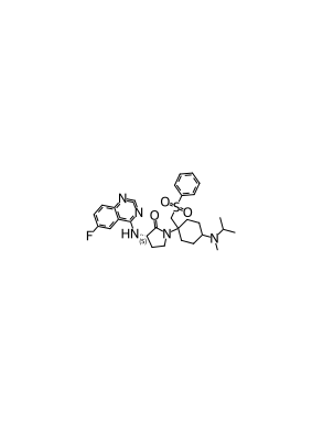 CC(C)N(C)C1CCC(CS(=O)(=O)c2ccccc2)(N2CC[C@H](Nc3ncnc4ccc(F)cc34)C2=O)CC1